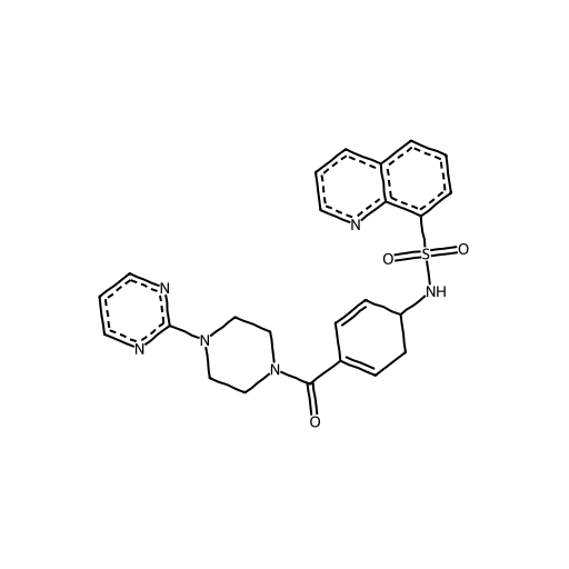 O=C(C1=CCC(NS(=O)(=O)c2cccc3cccnc23)C=C1)N1CCN(c2ncccn2)CC1